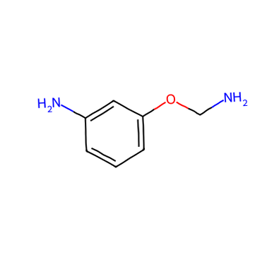 NCOc1cccc(N)c1